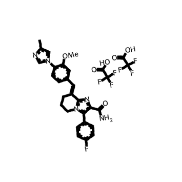 COc1cc(/C=C2\CCCn3c2nc(C(N)=O)c3-c2ccc(F)cc2)ccc1-n1cnc(C)c1.O=C(O)C(F)(F)F.O=C(O)C(F)(F)F